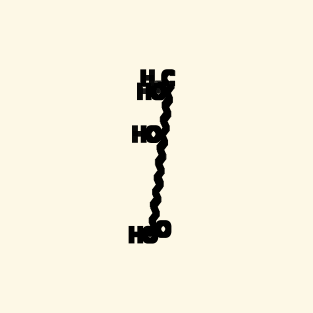 CCC(O)C=CC=CCC(O)C=CC=CCC=CCC=CCCC(=O)O